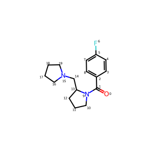 O=C(c1ccc(F)cc1)N1CCCC1CN1CCCC1